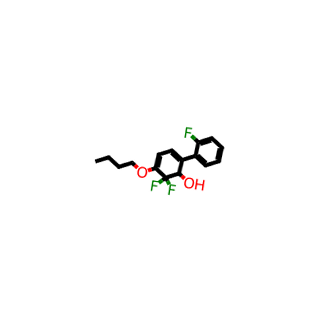 CCCCOC1=CC=C(c2ccccc2F)C(O)C1(F)F